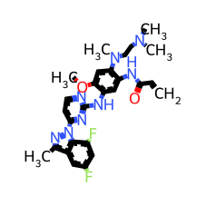 C=CC(=O)Nc1cc(Nc2nccc(-n3nc(C)c4cc(F)cc(F)c43)n2)c(OC)cc1N(C)CCN(C)C